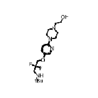 CC(C)(C)NCC(F)(F)COc1ccc(N2CCN(CCO)CC2)nc1